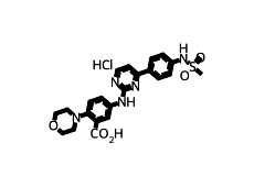 CS(=O)(=O)Nc1ccc(-c2ccnc(Nc3ccc(N4CCOCC4)c(C(=O)O)c3)n2)cc1.Cl